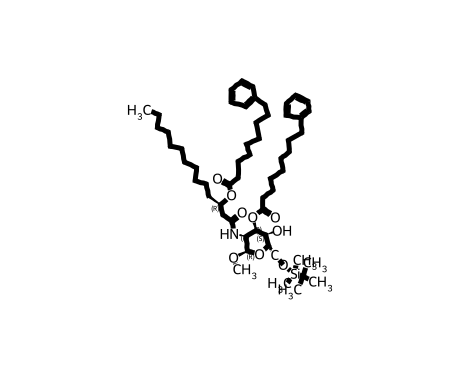 CCCCCCCCCCC[C@H](CC(=O)N[C@H]1[C@H](OC)O[C@H](CO[Si](C)(C)C(C)(C)C)[C@@H](O)[C@@H]1OC(=O)CCCCCCCCc1ccccc1)OC(=O)CCCCCCCCc1ccccc1